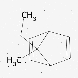 CCC1(C)C2C=CC1C=C2